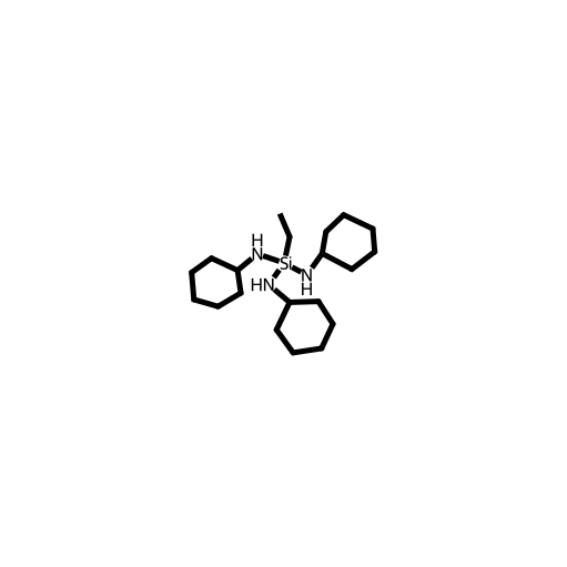 CC[Si](NC1CCCCC1)(NC1CCCCC1)NC1CCCCC1